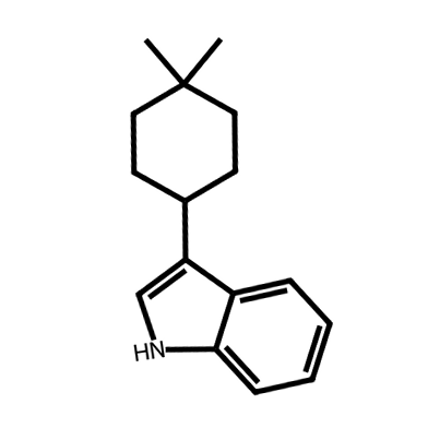 CC1(C)CCC(c2c[nH]c3ccccc23)CC1